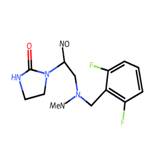 CNN(Cc1c(F)cccc1F)CC(N=O)N1CCNC1=O